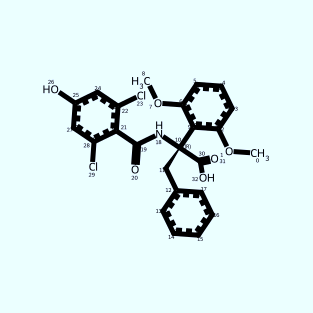 COc1cccc(OC)c1[C@@](Cc1ccccc1)(NC(=O)c1c(Cl)cc(O)cc1Cl)C(=O)O